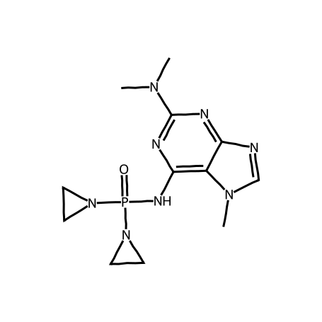 CN(C)c1nc(NP(=O)(N2CC2)N2CC2)c2c(ncn2C)n1